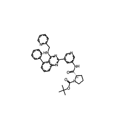 CC(C)(C)OC(=O)N1CCC[C@H]1C(=O)Nc1cncc(-c2nc(NCc3ccccn3)c3c(-c4ccccc4)cccc3n2)c1